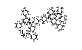 CC1(C)c2ccccc2-c2cc3c4cc(-c5ccc(N(c6ccc(-c7ccccc7)cc6)c6cccc7c6sc6c(-c8ccccc8)cccc67)cc5)ccc4n(-c4nc(-c5ccccc5)cc(-c5ccccc5)n4)c3cc21